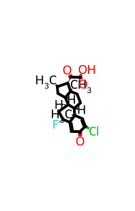 C[C@@H]1C[C@H]2[C@@H]3C[C@H](F)C4=CC(=O)C(Cl)=C[C@]4(C)[C@H]3CC[C@]2(C)[C@H]1C(=O)C(=O)O